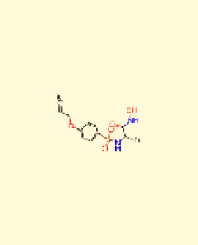 C=C=CCOc1ccc(S(=O)(=O)NC(C(=O)NO)C(C)C)cc1